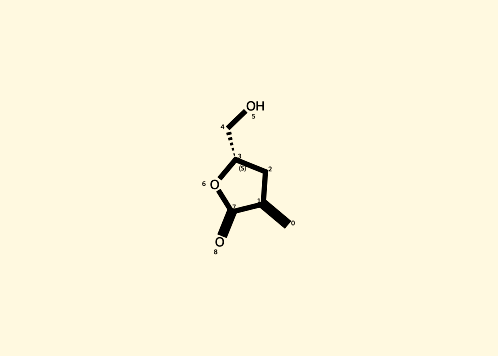 C=C1C[C@@H](CO)OC1=O